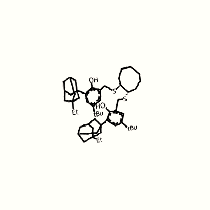 CCC12CC3CC(C1)CC(c1cc(C(C)(C)C)cc(CS[C@H]4CCCCCC[C@@H]4SCc4cc(C(C)(C)C)cc(C56CC7CC(CC(CC)(C7)C5)C6)c4O)c1O)(C3)C2